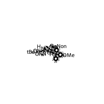 C#C[C@]1(O)[C@H](n2cnc3c(NC(=O)OC(C)(C)C)ncnc32)O[C@](F)(COC(c2ccccc2)(c2ccccc2)c2ccc(OC)cc2)[C@H]1OC(=O)CCCCCCCCC